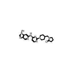 CC(C)n1cnc2cnc(Nc3ccnc(N4CCC(CN5CCCC5=O)CC4)n3)cc21